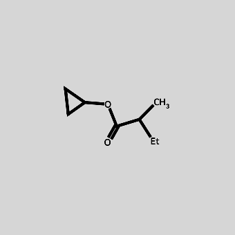 CCC(C)C(=O)OC1CC1